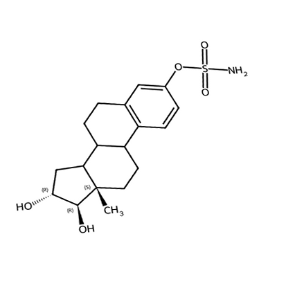 C[C@]12CCC3c4ccc(OS(N)(=O)=O)cc4CCC3C1C[C@@H](O)[C@@H]2O